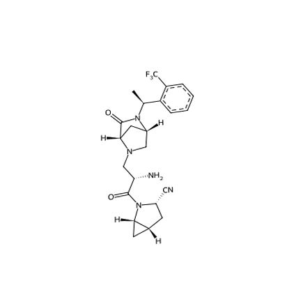 C[C@@H](c1ccccc1C(F)(F)F)N1C(=O)[C@@H]2C[C@H]1CN2C[C@H](N)C(=O)N1[C@H](C#N)C[C@@H]2C[C@@H]21